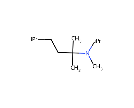 CC(C)CCC(C)(C)N(C)C(C)C